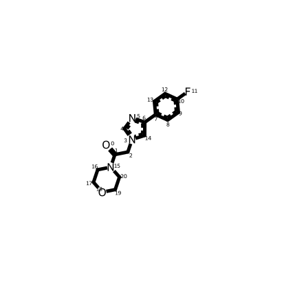 O=C(Cn1cnc(-c2ccc(F)cc2)c1)N1CCOCC1